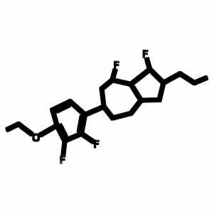 CCCC1CC2CCC(c3ccc(OCC)c(F)c3F)CC(F)C2C1F